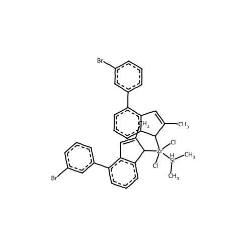 CC1=Cc2c(-c3cccc(Br)c3)cccc2[CH]1[Zr]([Cl])([Cl])([CH]1C(C)=Cc2c(-c3cccc(Br)c3)cccc21)[SiH](C)C